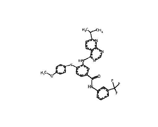 COc1ccc(Sc2ccc(C(=O)Nc3cccc(C(F)(F)F)c3)cc2Nc2ncnc3nc(C(C)C)ccc23)cc1